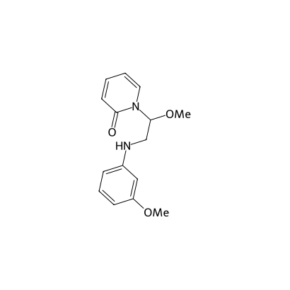 COc1cccc(NCC(OC)n2ccccc2=O)c1